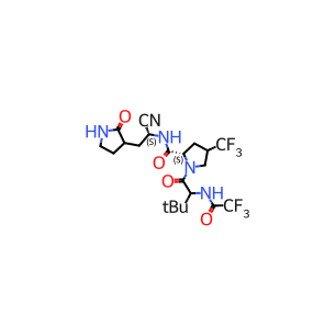 CC(C)(C)C(NC(=O)C(F)(F)F)C(=O)N1CC(C(F)(F)F)C[C@H]1C(=O)N[C@H](C#N)CC1CCNC1=O